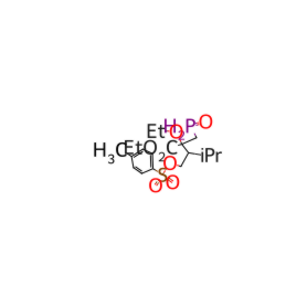 CCOC(=O)C(C[PH2]=O)(OCC)C(COS(=O)(=O)c1ccc(C)cc1)C(C)C